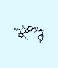 COc1ccnc(OC)c1-c1cc2cc(NC(=O)[C@@H]3C[C@H]3CN3C4CCC3CNC4)ncc2n1C